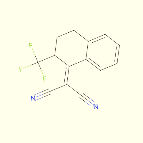 N#CC(C#N)=C1c2ccccc2CCC1C(F)(F)F